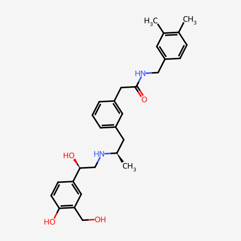 Cc1ccc(CNC(=O)Cc2cccc(C[C@@H](C)NC[C@H](O)c3ccc(O)c(CO)c3)c2)cc1C